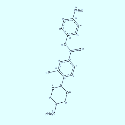 CCCCCCCC1COC(c2ccc(C(=O)Oc3ccc(CCCCCC)cc3)cc2F)OC1